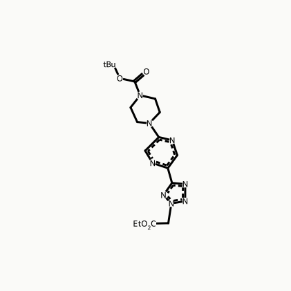 CCOC(=O)Cn1nnc(-c2cnc(N3CCN(C(=O)OC(C)(C)C)CC3)cn2)n1